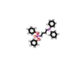 O=P(CCCCP(c1ccccc1)c1ccccc1)(Oc1ccccc1)Oc1ccccc1